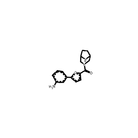 CN1C2CCC1CN(C(=O)c1ccc(-c3cccc(N)c3)o1)C2